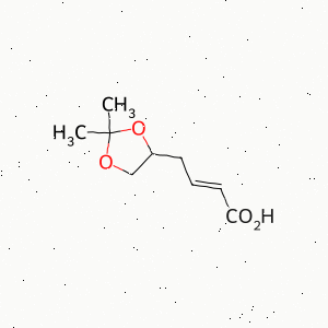 CC1(C)OCC(CC=CC(=O)O)O1